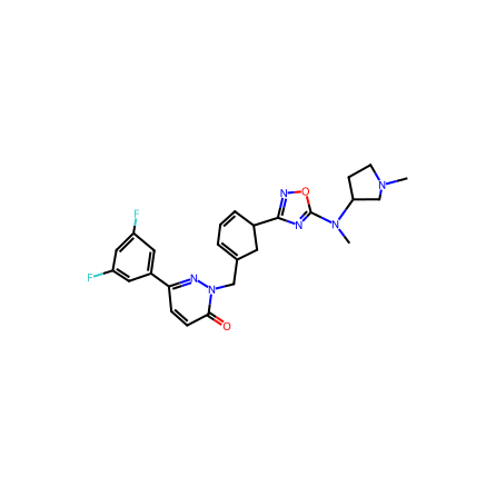 CN1CCC(N(C)c2nc(C3C=CC=C(Cn4nc(-c5cc(F)cc(F)c5)ccc4=O)C3)no2)C1